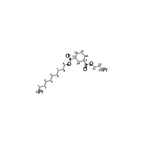 CC(C)CCCCCCCCCOC(=O)C1CCCC(C(=O)OCCC(C)C)C1